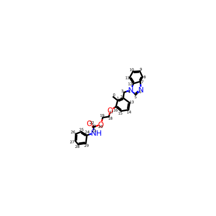 Cc1c(Cn2cnc3ccccc32)cccc1OCCOC(=O)Nc1ccccc1